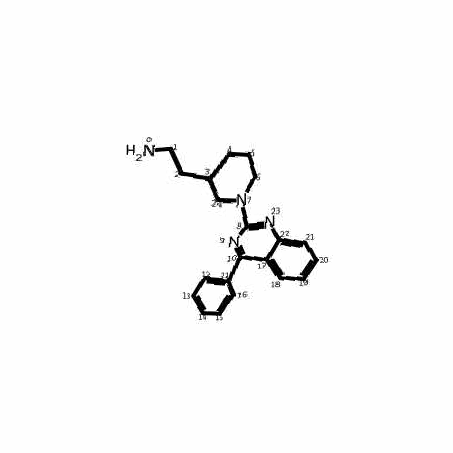 NCCC1CCCN(c2nc(-c3ccccc3)c3ccccc3n2)C1